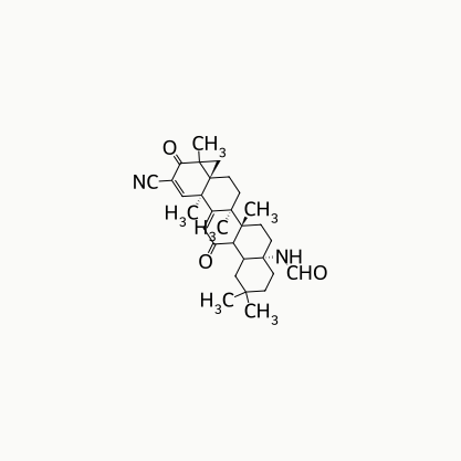 CC1(C)CC[C@]2(NC=O)CC[C@]3(C)C(C(=O)C=C4[C@@]5(C)C=C(C#N)C(=O)C6(C)C[C@]65CC[C@]43C)C2C1